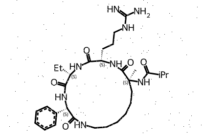 CC[C@@H]1NC(=O)[C@H](CCCNC(=N)N)NC(=O)[C@@](C)(NC(=O)C(C)C)CCCCCCNC(=O)[C@H](c2ccccc2)NC1=O